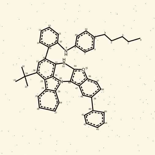 CCCCCc1ccc(Nc2ccccc2-c2cc(C(C)(C)C)c3c4ccccc4n4c3c2Bc2oc3ccc(-c5ccccc5)cc3c2-4)cc1